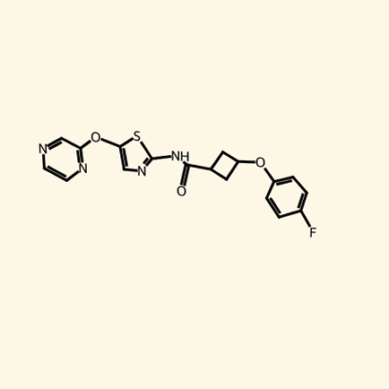 O=C(Nc1ncc(Oc2cnccn2)s1)C1CC(Oc2ccc(F)cc2)C1